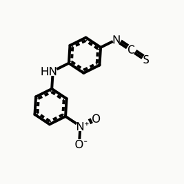 O=[N+]([O-])c1cccc(Nc2ccc(N=C=S)cc2)c1